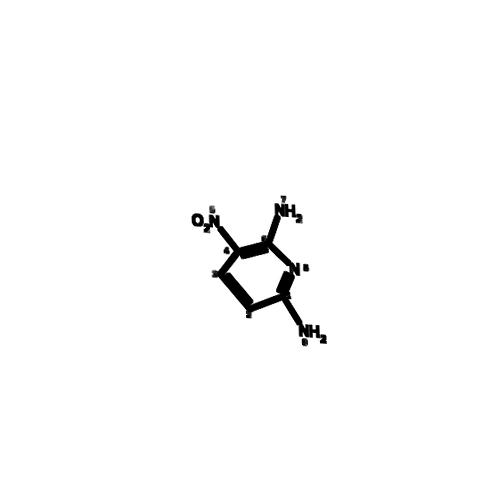 Nc1ccc([N+](=O)[O-])c(N)n1